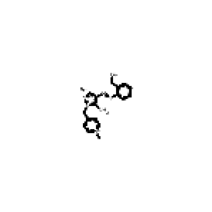 C[n+]1ccc(Cn2ncc(N=Nc3ccccc3CO)c2N)cc1.[Br-]